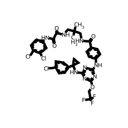 CC(C)(CNC(=O)C(=O)Nc1ccc(Cl)c(Cl)c1)CNC(=O)c1ccc(Nc2nc(NC3(c4ccc(Cl)cc4)CC3)nc(OCC(F)(F)F)n2)cc1